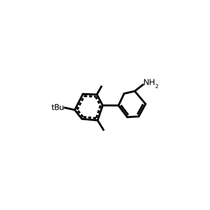 Cc1cc(C(C)(C)C)cc(C)c1C1=CC=CC(N)C1